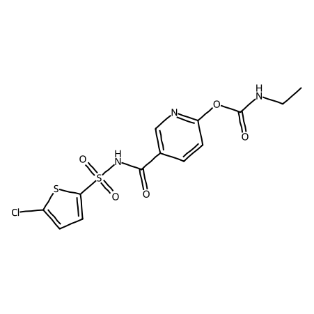 CCNC(=O)Oc1ccc(C(=O)NS(=O)(=O)c2ccc(Cl)s2)cn1